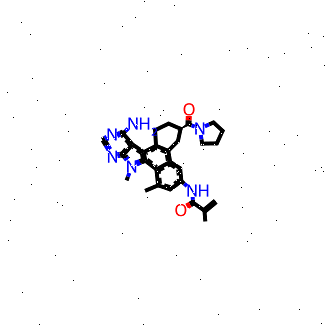 C=C(C)C(=O)Nc1cc(C)c2c(c1)c1c(c3c4c(N)ncnc4n(C)c23)CC[C@@H](C(=O)N2CCCC2)C1